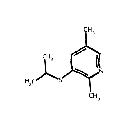 Cc1cnc(C)c(SC(C)C)c1